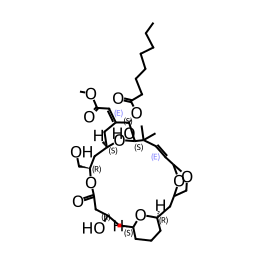 CCCCCCCC(=O)O[C@H]1/C(=C/C(=O)OC)C[C@H]2C[C@H](CO)OC(=O)C[C@H](O)C[C@@H]3CCC[C@H](CC4COC(/C=C/C(C)(C)[C@]1(O)O2)O4)O3